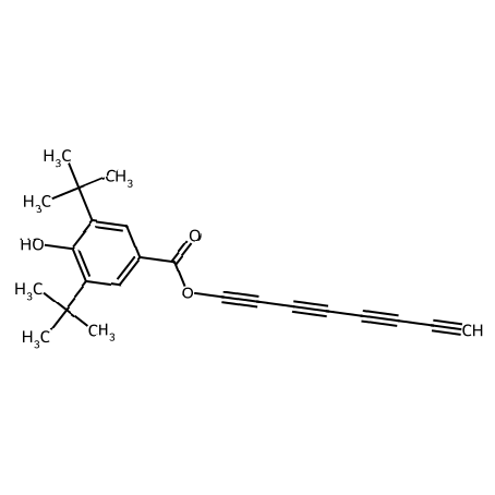 C#CC#CC#CC#COC(=O)c1cc(C(C)(C)C)c(O)c(C(C)(C)C)c1